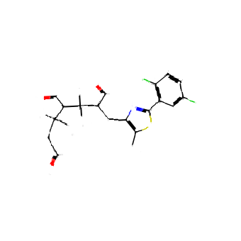 Cc1sc(-c2cc(Cl)ccc2Cl)nc1CC(C=O)C(C)(C)C(C=O)C(C)(C)CC=O